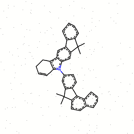 CC1(C)c2ccccc2-c2cc3c4c(n(-c5ccc6c(c5)C(C)(C)c5ccc7ccccc7c5-6)c3cc21)C=CCC4